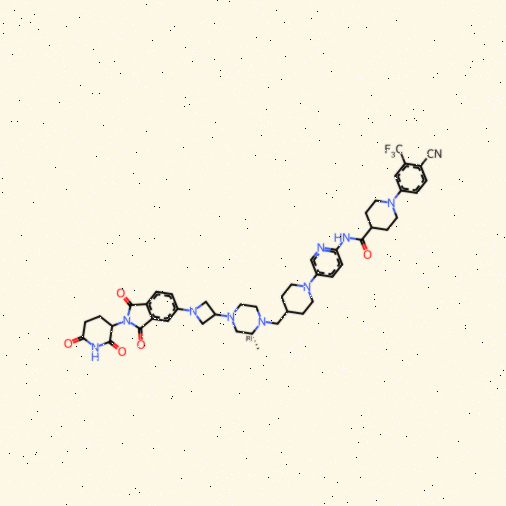 C[C@@H]1CN(C2CN(c3ccc4c(c3)C(=O)N(C3CCC(=O)NC3=O)C4=O)C2)CCN1CC1CCN(c2ccc(NC(=O)C3CCN(c4ccc(C#N)c(C(F)(F)F)c4)CC3)nc2)CC1